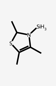 CC1=C(C)N([SiH3])C(C)S1